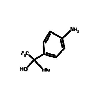 CCCCC(O)(c1ccc(N)cc1)C(F)(F)F